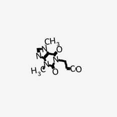 Cn1cnc2c1c(=O)n(CC=C=O)c(=O)n2C